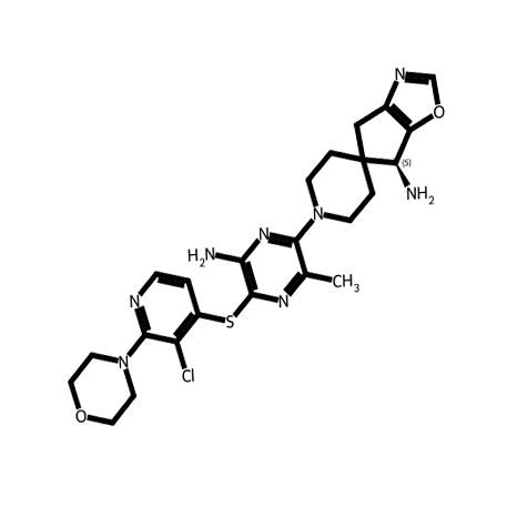 Cc1nc(Sc2ccnc(N3CCOCC3)c2Cl)c(N)nc1N1CCC2(CC1)Cc1ncoc1[C@H]2N